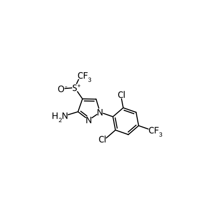 Nc1nn(-c2c(Cl)cc(C(F)(F)F)cc2Cl)cc1[S+]([O-])C(F)(F)F